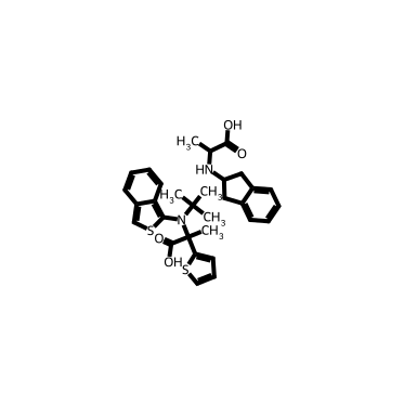 CC(C)(C)N(c1scc2ccccc12)C(C)(C(=O)O)c1cccs1.CC(NC1Cc2ccccc2C1)C(=O)O